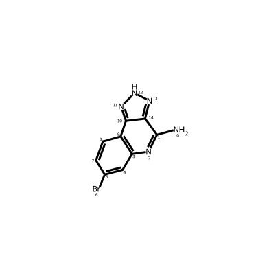 Nc1nc2cc(Br)ccc2c2n[nH]nc12